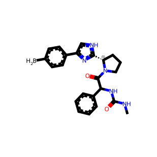 Bc1ccc(-c2c[nH]c([C@@H]3CCCN3C(=O)C(NC(=O)NC)c3ccccc3)n2)cc1